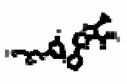 NC(=O)c1c(C2CC2)nn2ccc(N3CCC[C@@H]3c3cc(F)cc(OCC(O)CO)c3)nc12